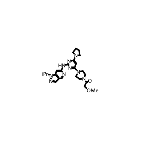 COCC(=O)N1CCN(c2cc(N3CCCC3)nc(Nc3cc4c(cn3)cnn4C(C)C)n2)CC1